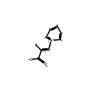 C/C(=C\[n+]1ccccc1)C(=O)[O-]